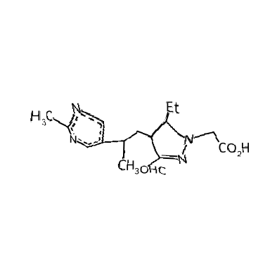 CCC1C(CC(C)c2cnc(C)nc2)C(C=O)=NN1CC(=O)O